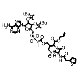 C=CCOC(=O)C1=C(COC(=O)NS(=O)(=O)OC[C@H]2O[C@@H](n3cnc4c(N)ncnc43)C(O[Si](C)(C)C(C)(C)C)C2O[Si](C)(C)C(C)(C)C)C[S+]([O-])[C@@H]2[C@H](NC(=O)Cc3cccs3)C(=O)N12